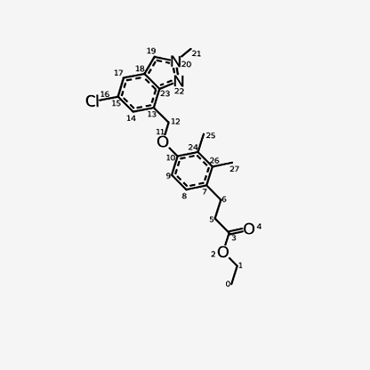 CCOC(=O)CCc1ccc(OCc2cc(Cl)cc3cn(C)nc23)c(C)c1C